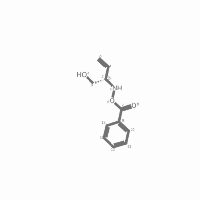 C=C[C@@H](CO)NOC(=O)c1ccccc1